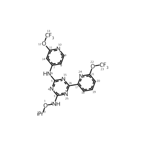 CC(C)ONc1nc(Nc2ccnc(OC(F)(F)F)c2)nc(-c2cccc(OC(F)(F)F)n2)n1